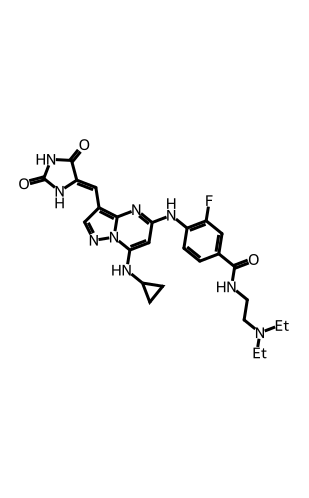 CCN(CC)CCNC(=O)c1ccc(Nc2cc(NC3CC3)n3ncc(/C=C4\NC(=O)NC4=O)c3n2)c(F)c1